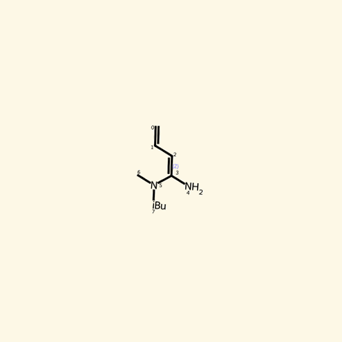 C=C/C=C(/N)N(C)C(C)CC